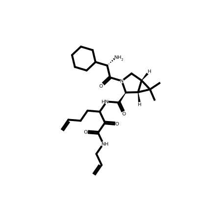 C=CCCC(NC(=O)[C@@H]1[C@@H]2[C@H](CN1C(=O)[C@@H](N)C1CCCCC1)C2(C)C)C(=O)C(=O)NCC=C